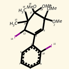 COC1(OC)C=C(c2ccccc2I)C(I)C(C)(C)C1(OC)OC